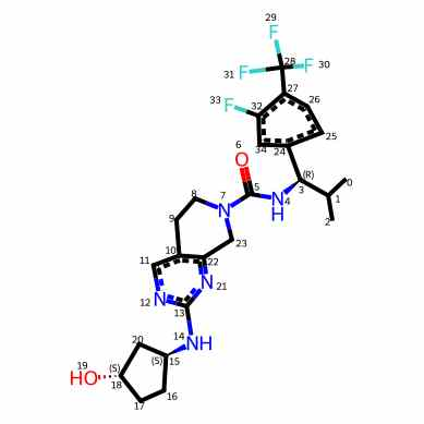 CC(C)[C@@H](NC(=O)N1CCc2cnc(N[C@H]3CC[C@H](O)C3)nc2C1)c1ccc(C(F)(F)F)c(F)c1